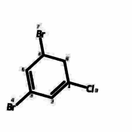 ClC1=CC(Br)=CC(Br)C1